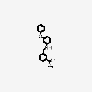 COC(=O)c1cccc(CNc2cccc(Oc3ccccc3)c2)c1